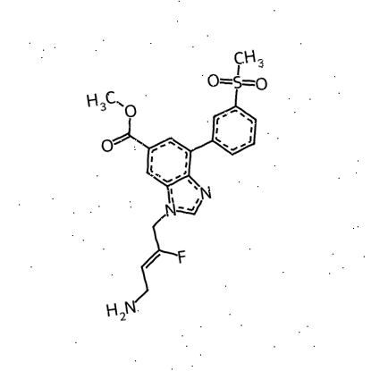 COC(=O)c1cc(-c2cccc(S(C)(=O)=O)c2)c2ncn(CC(F)=CCN)c2c1